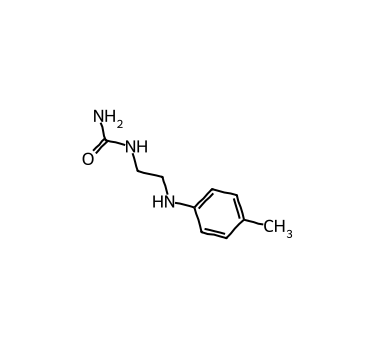 Cc1ccc(NCCNC(N)=O)cc1